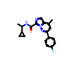 Cc1cc(-c2ccc(F)cc2)nn2c(C(=O)NC(C)C3CC3)ncc12